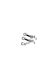 B[O-].B[O-].[Co+2]